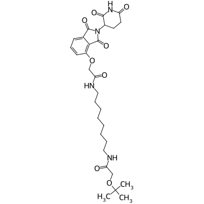 CC(C)(C)OCC(=O)NCCCCCCCCNC(=O)COc1cccc2c1C(=O)N(C1CCC(=O)NC1=O)C2=O